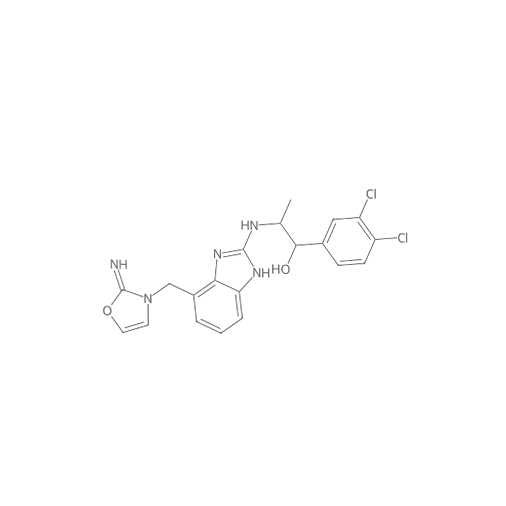 CC(Nc1nc2c(Cn3ccoc3=N)cccc2[nH]1)C(O)c1ccc(Cl)c(Cl)c1